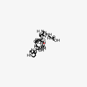 Nc1nc(NCCNC(=O)CO)nc2c1ncn2[C@@H]1O[C@@H]2COP(=O)(S)O[C@H]3[C@@H](O)[C@H](n4cc5c6c(ncnc64)NCCC5)O[C@@H]3COP(=O)(S)O[C@@H]1[C@@H]2O